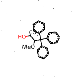 COC(C(O)C(=O)O)C(c1ccccc1)(c1ccccc1)c1ccccc1